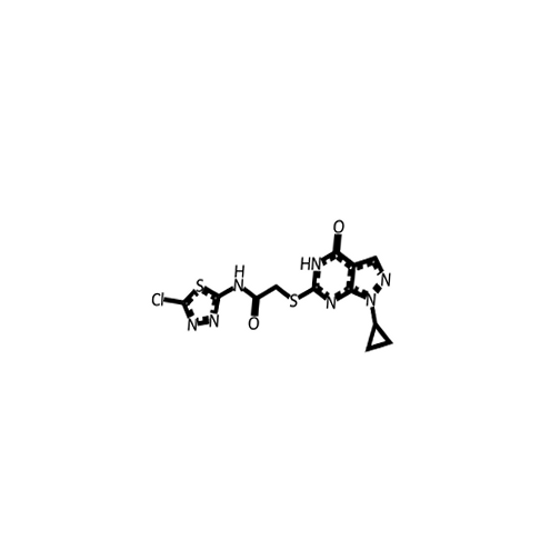 O=C(CSc1nc2c(cnn2C2CC2)c(=O)[nH]1)Nc1nnc(Cl)s1